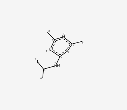 Cc1cc(NC(C)I)nc(C)n1